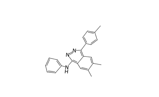 Cc1ccc(-c2nnc(Nc3ccccc3)c3cc(C)c(C)cc23)cc1